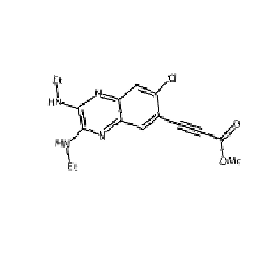 CCNc1nc2cc(Cl)c(C#CC(=O)OC)cc2nc1NCC